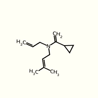 C=CCN(CC=C(C)C)C(=C)C1CC1